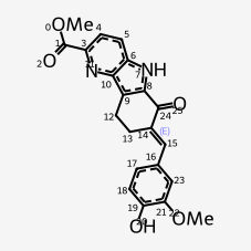 COC(=O)c1ccc2[nH]c3c(c2n1)CC/C(=C\c1ccc(O)c(OC)c1)C3=O